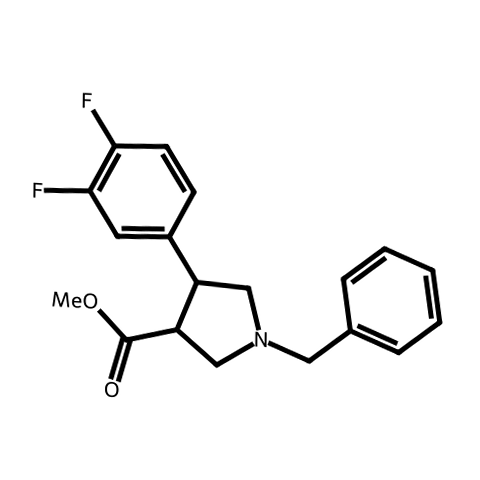 COC(=O)C1CN(Cc2ccccc2)CC1c1ccc(F)c(F)c1